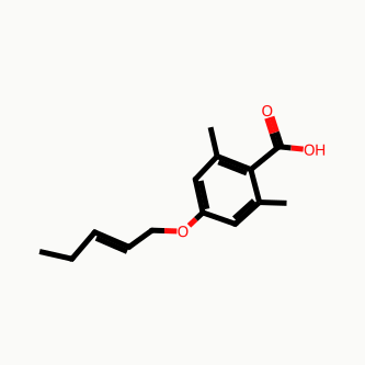 CCC=CCOc1cc(C)c(C(=O)O)c(C)c1